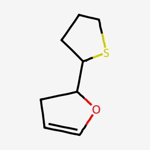 C1=COC([C]2CCCS2)C1